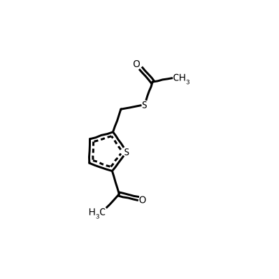 CC(=O)SCc1ccc(C(C)=O)s1